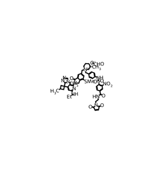 CCNc1cc(C2(c3nncn3C)CC(C)C2)cc(N2Cc3c(SC)cc(C[N+]4(Cc5ccc(NS(=O)(=O)c6ccc(C(=O)NCCN7C(=O)C=CC7=O)cc6[N+](=O)[O-])cc5)CCC[C@H](C)C4)cc3C2=O)n1.O=C[O-]